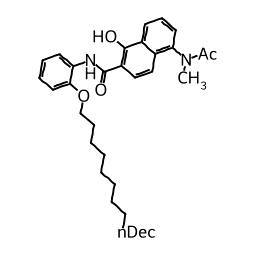 CCCCCCCCCCCCCCCCCCOc1ccccc1NC(=O)c1ccc2c(N(C)C(C)=O)cccc2c1O